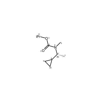 CC(C)OC(=O)N(C)[C@H](C)C1CC1